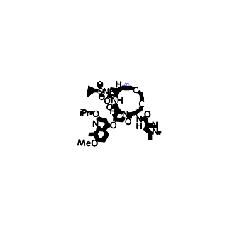 COc1ccc2c(O[C@@H]3C[C@H]4C(=O)N[C@]5(C(=O)NS(=O)(=O)C6CC6)C[C@H]5/C=C\CCCCC[C@H](NC(=O)c5cc(C)n(C)n5)C(=O)N4C3)cc(OC(C)C)nc2c1C